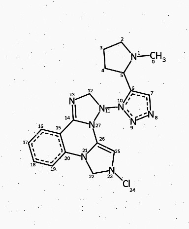 CN1CCCC1c1cnnn1N1CN=C2c3ccccc3N3CN(Cl)C=C3N21